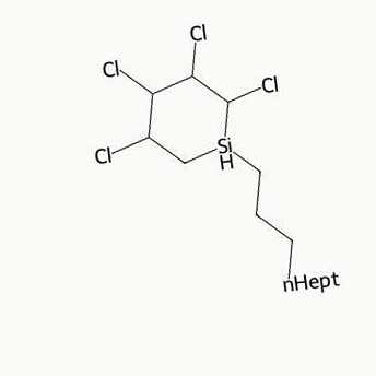 CCCCCCCCCC[SiH]1CC(Cl)C(Cl)C(Cl)C1Cl